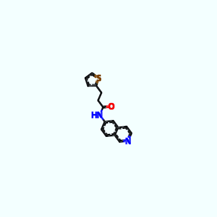 O=C(CCc1cccs1)Nc1ccc2cnccc2c1